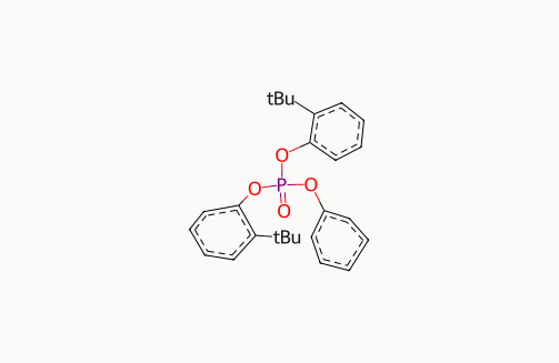 CC(C)(C)c1ccccc1OP(=O)(Oc1ccccc1)Oc1ccccc1C(C)(C)C